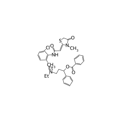 CCN(CC)CCC(OC(=O)c1ccccc1)c1ccccc1.Cc1cccc(Cl)c1NC(=O)/C=C1\SCC(=O)N1C